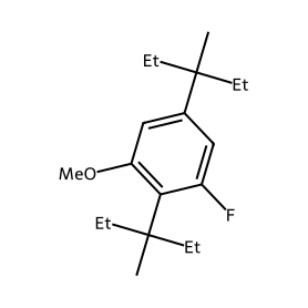 CCC(C)(CC)c1cc(F)c(C(C)(CC)CC)c(OC)c1